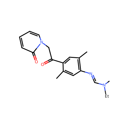 CCN(C)C=Nc1cc(C)c(C(=O)Cn2ccccc2=O)cc1C